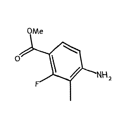 COC(=O)c1ccc(N)c(C)c1F